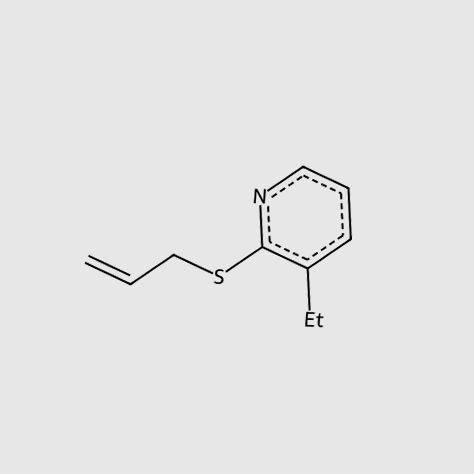 C=CCSc1ncccc1CC